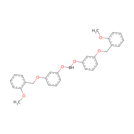 COc1ccccc1COc1cccc(OBOc2cccc(OCc3ccccc3OC)c2)c1